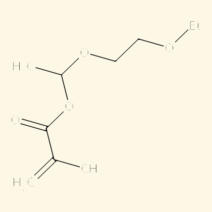 C=C(C)C(=O)O[C](C)OCCOCC